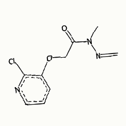 C=NN(C)C(=O)COc1cccnc1Cl